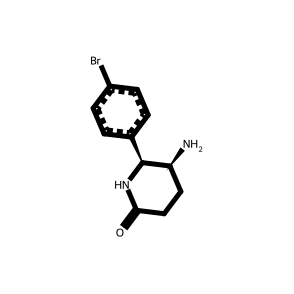 N[C@H]1CCC(=O)N[C@H]1c1ccc(Br)cc1